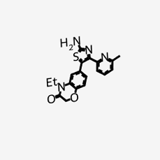 CCN1C(=O)COc2ccc(-c3sc(N)nc3-c3cccc(C)n3)cc21